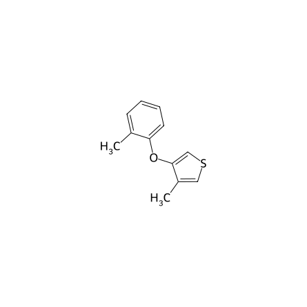 Cc1ccccc1Oc1cscc1C